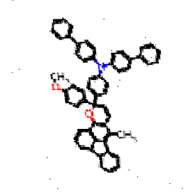 COc1ccc(C2(c3ccc(N(c4ccc(-c5ccccc5)cc4)c4ccc(-c5ccccc5)cc4)cc3)C=Cc3c(C)c4c5c(cccc5c3O2)-c2ccccc2-4)cc1